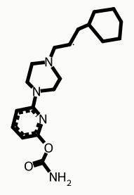 NC(=O)Oc1cccc(N2CCN(C[CH]CC3CCCCC3)CC2)n1